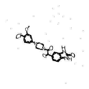 COc1cc(N2CCN(C(=O)C(Cl)c3ccc4[nH]c(=O)[nH]c4c3)CC2)ccc1Cl